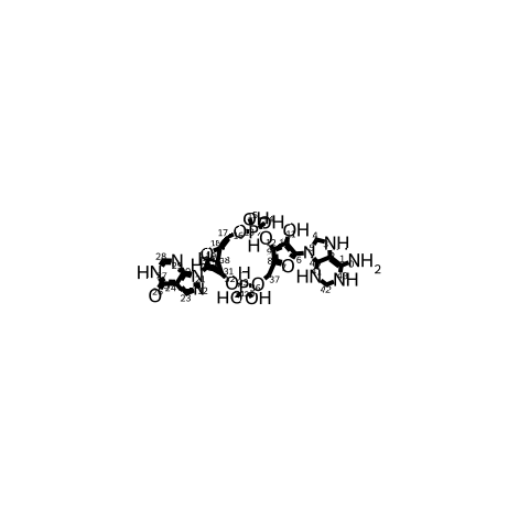 NC1=C2NCN(c3oc4c(c3O)O[PH](O)(O)O/C=C3/OC(n5ncc6c(=O)[nH]cnc65)=C(O[PH](O)(O)OC4)[C@@H]3O)C2NCN1